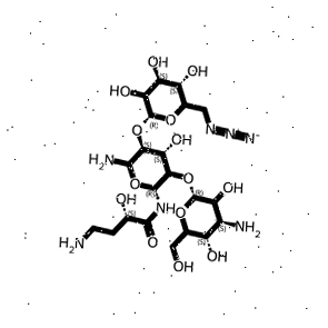 [N-]=[N+]=NCC1O[C@H](O[C@@H]2C(N)O[C@@H](NC(=O)[C@@H](O)CCN)C(O[C@H]3OC(CO)[C@@H](O)[C@H](N)C3O)[C@H]2O)C(O)[C@@H](O)[C@@H]1O